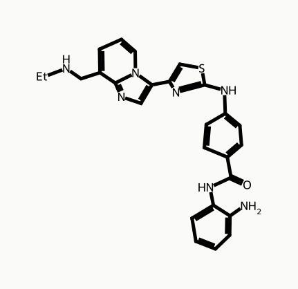 CCNCc1cccn2c(-c3csc(Nc4ccc(C(=O)Nc5ccccc5N)cc4)n3)cnc12